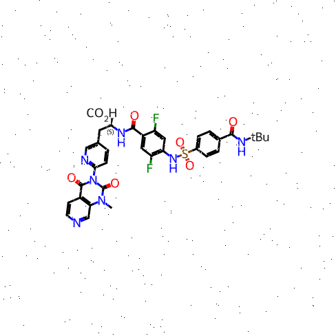 Cn1c(=O)n(-c2ccc(C[C@H](NC(=O)c3cc(F)c(NS(=O)(=O)c4ccc(C(=O)NC(C)(C)C)cc4)cc3F)C(=O)O)cn2)c(=O)c2ccncc21